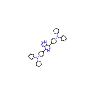 c1ccc(N(c2ccccc2)c2ccc(-c3cnc(-c4ccc(N(c5ccccc5)c5ccccc5)cc4)c4nsnc34)cc2)cc1